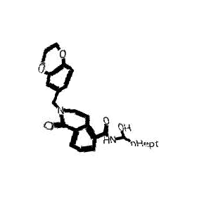 CCCCCCCC(O)NC(=O)c1cccc2c(=O)n(Cc3ccc4c(c3)OCCO4)ccc12